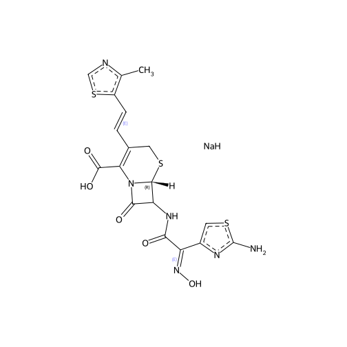 Cc1ncsc1/C=C/C1=C(C(=O)O)N2C(=O)C(NC(=O)/C(=N/O)c3csc(N)n3)[C@H]2SC1.[NaH]